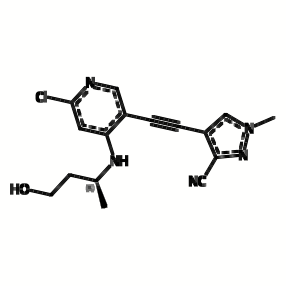 C[C@@H](CCO)Nc1cc(Cl)ncc1C#Cc1cn(C)nc1C#N